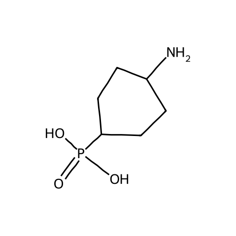 NC1CCC(P(=O)(O)O)CC1